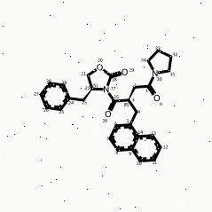 O=C(C[C@@H](Cc1cccc2ccccc12)C(=O)N1C(=O)OC[C@@H]1Cc1ccccc1)N1CCCC1